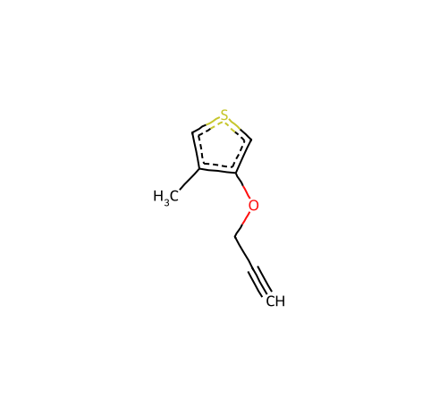 C#CCOc1cscc1C